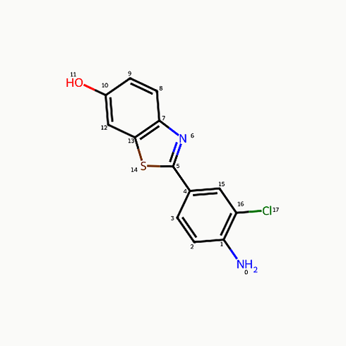 Nc1ccc(-c2nc3ccc(O)cc3s2)cc1Cl